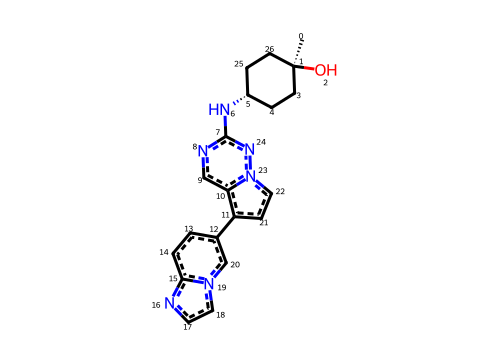 C[C@]1(O)CC[C@H](Nc2ncc3c(-c4ccc5nccn5c4)ccn3n2)CC1